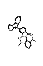 CC(C)c1cccc(C(C)C)c1N1C(=O)c2ccc(-n3c4ccccc4c4ccccc43)cc2C1=O